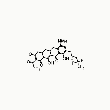 CNc1cc(CNCC(F)(F)C(F)(F)F)c(O)c2c1CC1CC3CC(O)=C(C(N)=O)C(=O)C3C(O)=C1C2=O